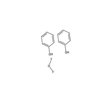 FOF.Oc1ccccc1.Oc1ccccc1